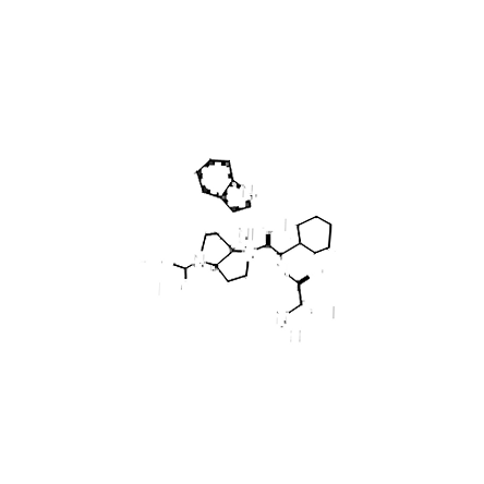 C=C([C@@H](NC(=O)[C@H](C)NC)C1CCCCC1)N1CC[C@H]2N(C(C)C)C[C@H](c3c[nH]c4ccccc34)[C@]21N